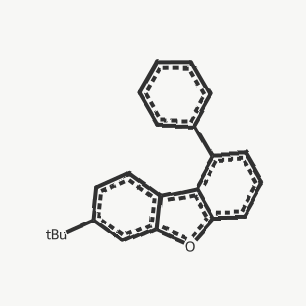 CC(C)(C)c1ccc2c(c1)oc1cccc(-c3ccccc3)c12